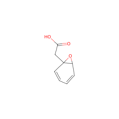 O=C(O)CC12C=CC=CC1O2